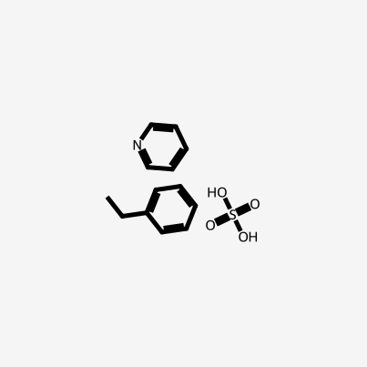 CCc1ccccc1.O=S(=O)(O)O.c1ccncc1